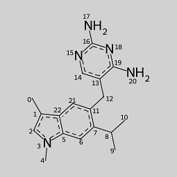 Cc1cn(C)c2cc(C(C)C)c(Cc3cnc(N)nc3N)cc12